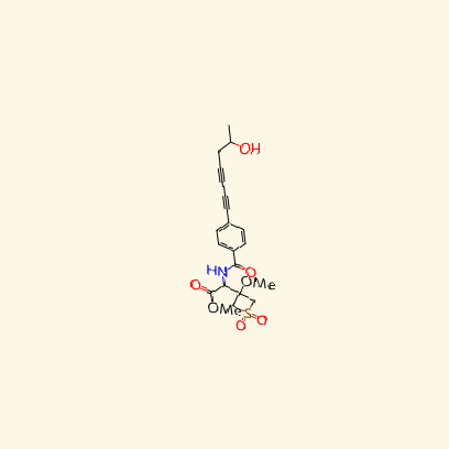 COC(=O)C(NC(=O)c1ccc(C#CC#CCC(C)O)cc1)C1(OC)CS(=O)(=O)C1